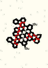 CC(C)(C)C1=CC(C2=CCCC(C3=CC=CCC3)=C2)C(N2c3cc(-n4c5ccccc5c5ccccc54)ccc3B3c4ccc(-n5c6ccccc6c6ccccc65)cc4N(c4c(C5=CC=CC(C6=CC=CCC6)C5)cc(C(C)(C)C)cc4-c4cccc(C5=CC=CCC5)c4)c4cc(-c5ccccc5)cc2c43)C(C2CCC=C(C3=CCCC=C3)C2)=C1